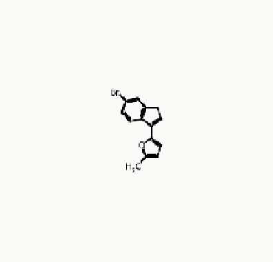 Cc1ccc(C2=CCc3cc(Br)ccc32)o1